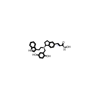 O=C(/C=C/c1ccc2c(c1)CCC2N(CCc1c[nH]c2ccccc12)Cc1cc(O)ccc1O)NO